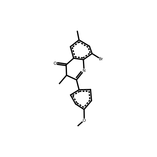 COc1ccc(C2=Nc3c(Br)cc(C)cc3C(=O)C2C)cc1